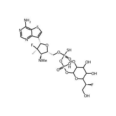 CN[C@@H]1[C@@H](COP(=O)(S)OP(=O)(O)OC2OC([C@@H](F)CO)C(O)C(O)C2O)O[C@@H](c2csc3c(N)ncnc23)[C@]1(C)F